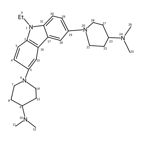 CCn1c2ccc(N3CCC(N(C)C)CC3)cc2c2cc(N3CCC(N(C)C)CC3)ccc21